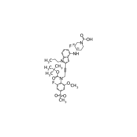 CCCn1c(C#CCN(C(=O)OC(C)(C)C)c2c(F)cc(S(C)(=O)=O)cc2OC)cc2c(N[C@H]3CCN(C(=O)O)C[C@H]3F)cccc21